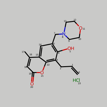 C=CCc1c(O)c(CN2CCOCC2)cc2c(C)cc(=O)oc12.Cl